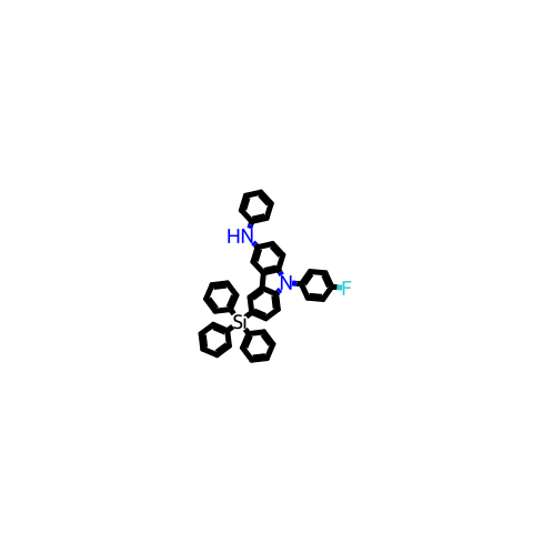 Fc1ccc(-n2c3ccc(Nc4ccccc4)cc3c3cc([Si](c4ccccc4)(c4ccccc4)c4ccccc4)ccc32)cc1